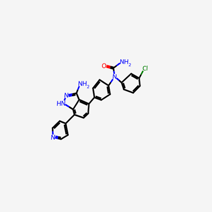 NC(=O)N(c1ccc(-c2ccc(-c3ccncc3)c3[nH]nc(N)c23)cc1)c1cccc(Cl)c1